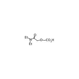 CCN(CC)C(=O)COCC(=O)O